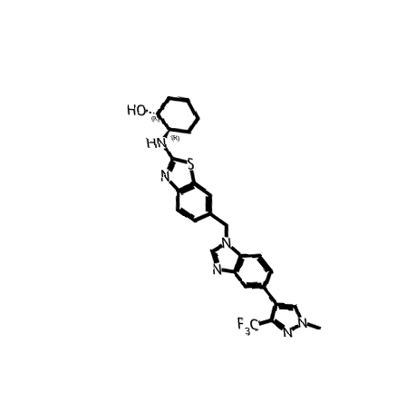 Cn1cc(-c2ccc3c(c2)ncn3Cc2ccc3nc(N[C@@H]4CCCC[C@H]4O)sc3c2)c(C(F)(F)F)n1